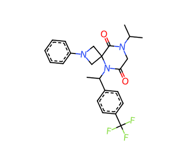 CC(C)N1CC(=O)N(C(C)c2ccc(C(F)(F)F)cc2)C2(CN(c3ccccc3)C2)C1=O